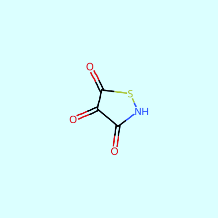 O=C1NSC(=O)C1=O